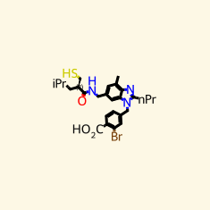 CCCc1nc2c(C)cc(CNC(=O)[C@H](CS)CC(C)C)cc2n1Cc1ccc(C(=O)O)c(Br)c1